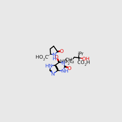 CC(C)C(O)(CC(=O)O)C(=O)O.Cn1c(=O)[nH]c2nc[nH]c2c1=O.O=C1CC[C@@H](C(=O)O)N1